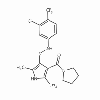 Cc1[nH]c(C)c(C(=O)N2CCCC2)c1SNc1ccc(C(F)(F)F)c(Cl)c1